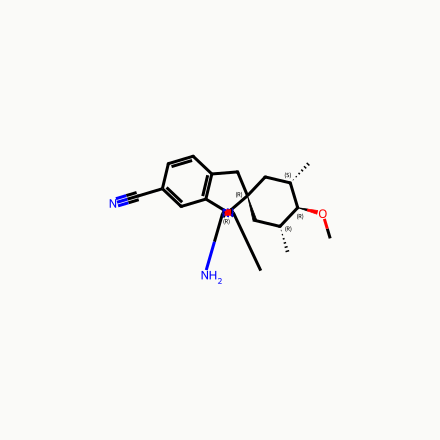 CO[C@H]1[C@H](C)C[C@@]2(Cc3ccc(C#N)cc3[C@@]23N=C(C)C(N)=N3)C[C@@H]1C